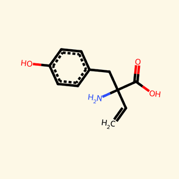 C=CC(N)(Cc1ccc(O)cc1)C(=O)O